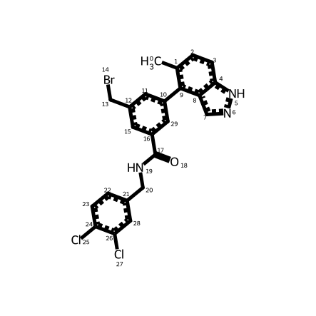 Cc1ccc2[nH]ncc2c1-c1cc(CBr)cc(C(=O)NCc2ccc(Cl)c(Cl)c2)c1